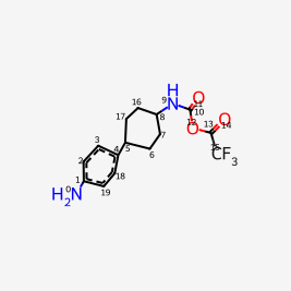 Nc1ccc(C2CCC(NC(=O)OC(=O)C(F)(F)F)CC2)cc1